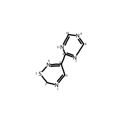 C1=NCSN=C1c1ncncn1